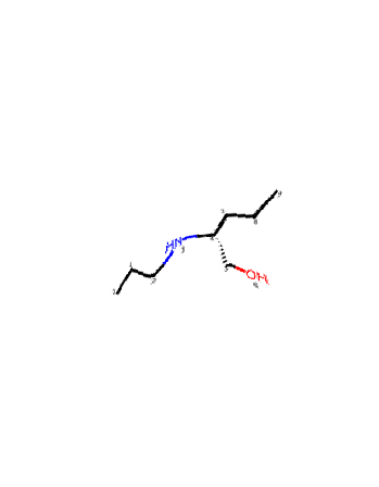 CCCN[C@@H](CO)CCC